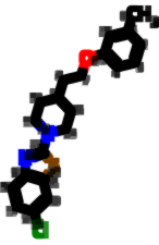 Cc1cccc(OCCC2CCN(c3nc4ccc(Cl)cc4s3)CC2)c1